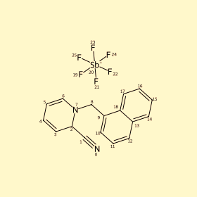 N#CC1C=CC=CN1Cc1cccc2ccccc12.[F][Sb-]([F])([F])([F])([F])[F]